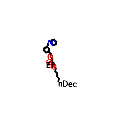 CCCCCCCCCCCCCCCCOCC(COCc1cccc(C[n+]2ccccc2)c1)OCC